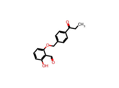 CCC(=O)c1ccc(COc2cccc(O)c2C=O)cc1